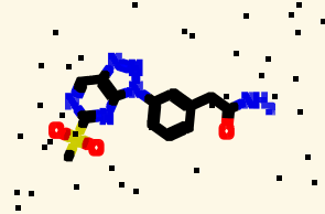 CS(=O)(=O)c1ncc2nnn(-c3cccc(CC(N)=O)c3)c2n1